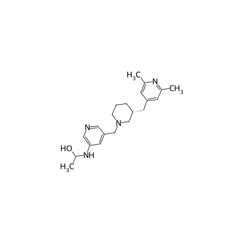 Cc1cc(C[C@H]2CCCN(Cc3cncc(NC(C)O)c3)C2)cc(C)n1